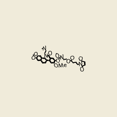 COc1cc2c(cc1OC(=O)N(C)CCOC(=O)CCCN1C(=O)C=CC1=O)c(=O)n(CCN(C)C)c1c3cc4c(cc3ccc21)OCO4